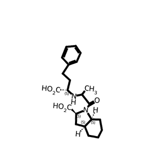 CC(N[C@@H](CCc1ccccc1)C(=O)O)C(=O)N1[C@H](C(=O)O)C[C@@H]2CCCC[C@@H]21